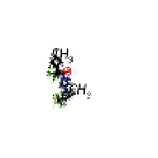 Cc1ccc(C2[C@H](C(=O)N3CCN(c4cc(C(F)(F)F)ccc4C)CC3)C2(F)F)cc1